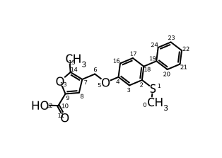 CSc1cc(OCc2cc(C(=O)O)oc2C)ccc1-c1ccccc1